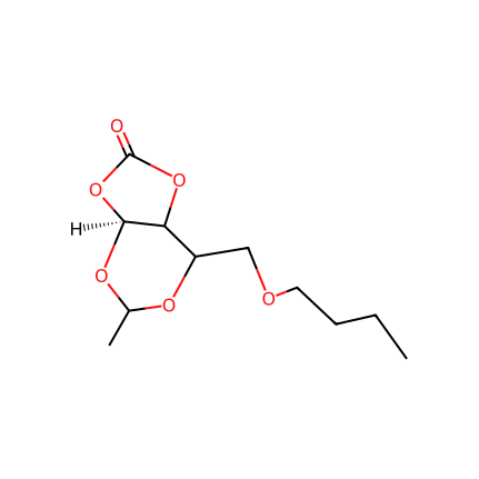 CCCCOCC1OC(C)O[C@H]2OC(=O)OC12